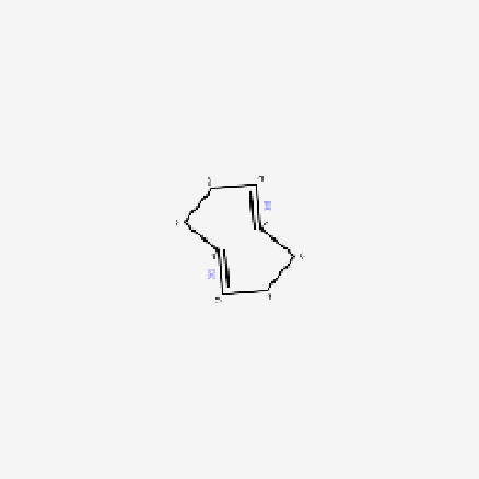 C1=C/CC/C=C/CC/1